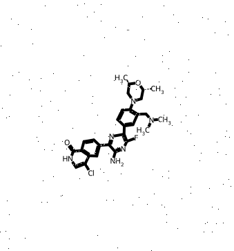 C[C@@H]1CN(c2ccc(-c3nc(-c4ccc5c(=O)[nH]cc(Cl)c5c4)c(N)nc3F)cc2CN(C)C)C[C@H](C)O1